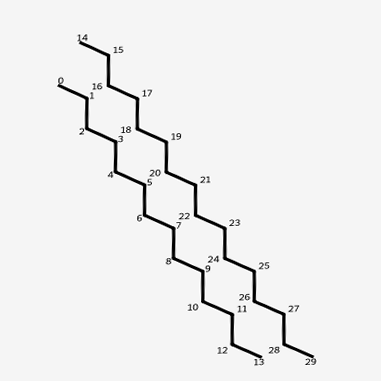 CCCCCCCCCCCCCC.CCCCCCCCCCCCCCCC